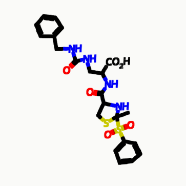 CC1(S(=O)(=O)c2ccccc2)NC(C(=O)NC(CNC(=O)NCc2ccccc2)C(=O)O)CS1